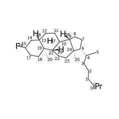 CC(C)CCCC(C)[C@H]1CC[C@H]2[C@@H]3CC[C@H]4CC(F)CC[C@]4(C)[C@H]3CC[C@]12C